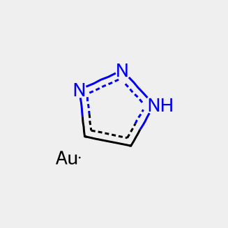 [Au].c1c[nH]nn1